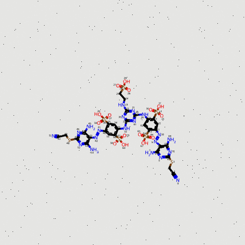 N#CCSc1nc(N)c(/N=N/c2cc(S(=O)(=O)O)c(Nc3nc(NCCS(=O)(=O)O)nc(Nc4cc(S(=O)(=O)O)c(/N=N/c5c(N)nc(SCC#N)nc5N)cc4S(=O)(=O)O)n3)cc2S(=O)(=O)O)c(N)n1